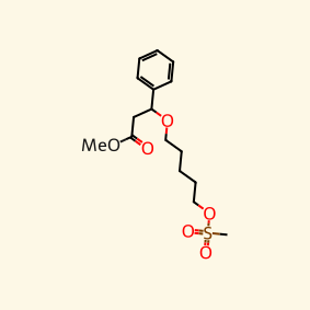 COC(=O)CC(OCCCCCOS(C)(=O)=O)c1ccccc1